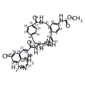 COC(=O)Nc1ccc2c(c1)CNC(=O)c1ccc(cc1)C[C@H](NC(=O)/C=C/c1cc(Cl)ccc1N(N)/C=N\N)c1nc-2c[nH]1